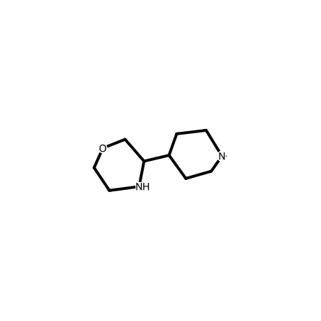 C1CC(C2COCCN2)CC[N]1